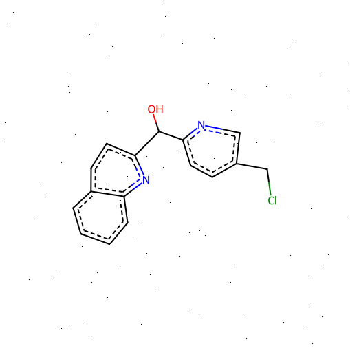 OC(c1ccc(CCl)cn1)c1ccc2ccccc2n1